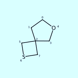 C1CC2(CO1)CSC2